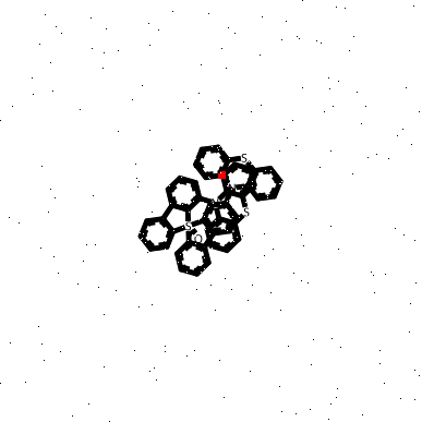 O=S12(c3ccccc3-c3ccc(N4c5ccccc5Sc5ccccc54)cc31)c1ccccc1-c1cccc(N3c4ccccc4Sc4ccccc43)c12